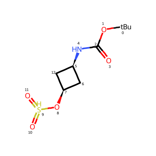 CC(C)(C)OC(=O)N[C@H]1C[C@@H](O[SH](=O)=O)C1